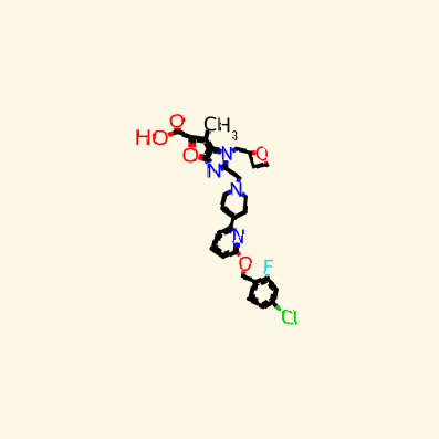 Cc1c(C(=O)O)oc2nc(CN3CC=C(c4cccc(OCc5ccc(Cl)cc5F)n4)CC3)n(CC3CCO3)c12